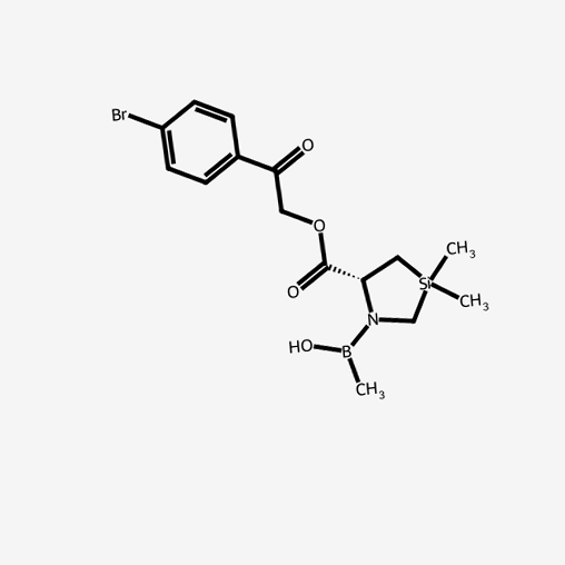 CB(O)N1C[Si](C)(C)C[C@H]1C(=O)OCC(=O)c1ccc(Br)cc1